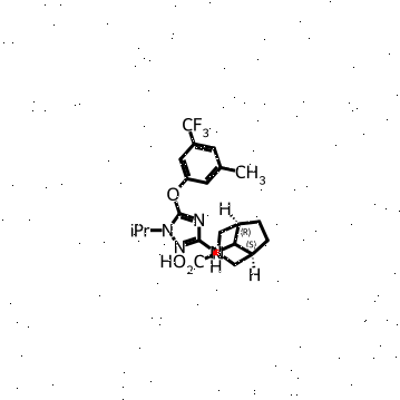 Cc1cc(Oc2nc(NC3[C@@H]4CC[C@H]3CN(C(=O)O)C4)nn2C(C)C)cc(C(F)(F)F)c1